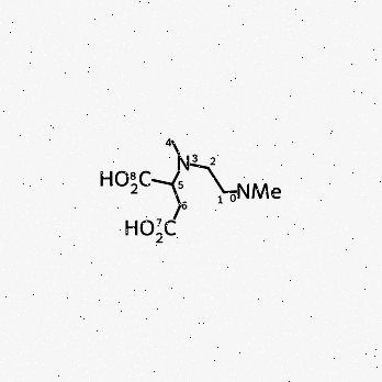 CNCCN(C)C(CC(=O)O)C(=O)O